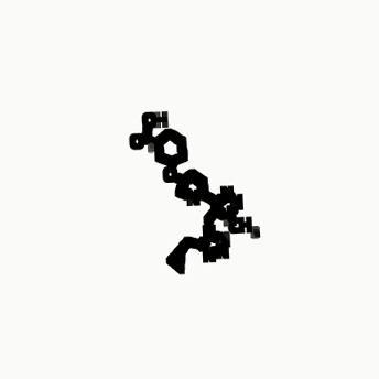 Cn1nnc(-c2ccc(OC3CCC[C@H](C(=O)O)C3)cn2)c1Cn1nnnc1CC1CC1